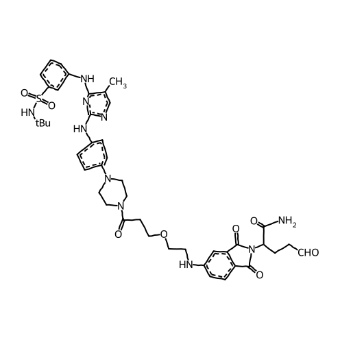 Cc1cnc(Nc2ccc(N3CCN(C(=O)CCOCCNc4ccc5c(c4)C(=O)N(C(CCC=O)C(N)=O)C5=O)CC3)cc2)nc1Nc1cccc(S(=O)(=O)NC(C)(C)C)c1